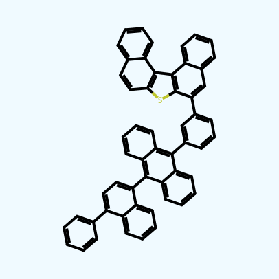 c1ccc(-c2ccc(-c3c4ccccc4c(-c4cccc(-c5cc6ccccc6c6c5sc5ccc7ccccc7c56)c4)c4ccccc34)c3ccccc23)cc1